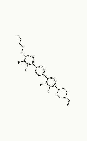 C=CC1CCC(c2ccc(-c3ccc(-c4ccc(CCCCC)c(F)c4F)cc3)c(F)c2F)CC1